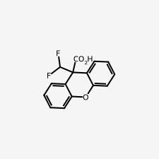 O=C(O)C1(C(F)F)c2ccccc2Oc2ccccc21